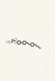 C=C(CO)C(=O)OC1CCC(C2CCC(CCC3CCC(CCCCC)CC3)CC2)CC1